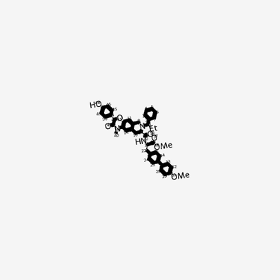 CC[C@@H](c1ccccc1)N1Cc2cc3c(cc2C[C@H]1C(=O)N[C@@H](Cc1ccc(-c2ccc(OC)cc2)cc1)C(=O)OC)N(C)C(=O)[C@H](c1ccc(O)cc1)O3